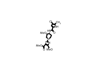 COCc1nc(N2CC[C@@H](NC(=O)c3cc(Cl)c(C)[nH]3)[C@@H](OC)C2)sc1C(=O)OC